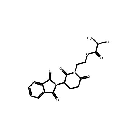 CC(C)[C@H](N)C(=O)OCCN1C(=O)CCC(N2C(=O)c3ccccc3C2=O)C1=O